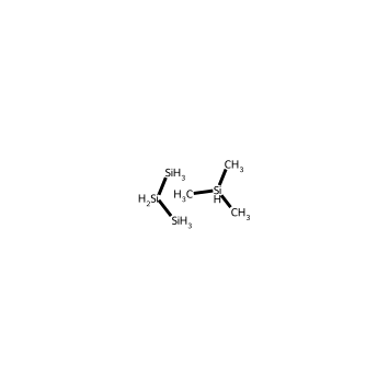 C[SiH](C)C.[SiH3][SiH2][SiH3]